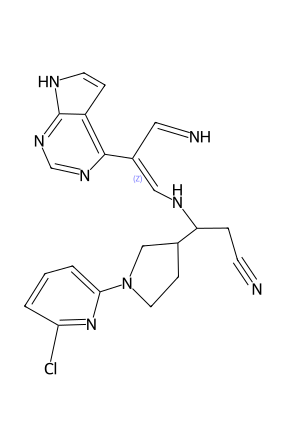 N#CCC(N/C=C(\C=N)c1ncnc2[nH]ccc12)C1CCN(c2cccc(Cl)n2)C1